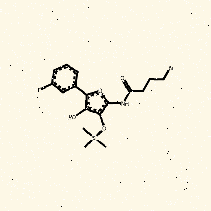 C[Si](C)(C)Oc1c(NC(=O)CCCBr)oc(-c2cccc(F)c2)c1O